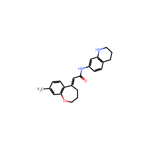 O=C(/C=C1\CCCOc2cc(C(F)(F)F)ccc21)Nc1ccc2c(c1)NCCC2